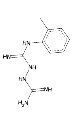 Cc1ccccc1NC(=N)NNC(=N)N